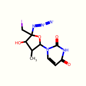 CC1C(n2ccc(=O)[nH]c2=O)OC(CI)(N=[N+]=[N-])C1O